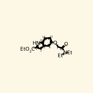 CCOC(=O)c1cc2cc(OCC(=O)N(CC)CC)ccc2[nH]1